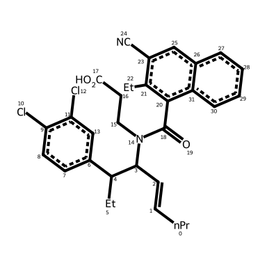 CCCC=CC(C(CC)c1ccc(Cl)c(Cl)c1)N(CCC(=O)O)C(=O)c1c(CC)c(C#N)cc2ccccc12